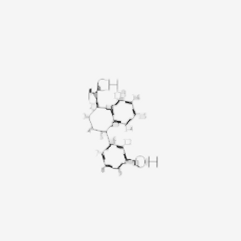 C/N=C1/CCC(c2cccc(O)c2)c2ccccc21